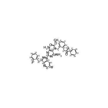 COC(=O)N(Cc1ccccc1CS(=O)(=O)c1ccccc1)c1c(N)nc(-n2nc(Cc3ccccc3F)c3ncc(F)cc32)nc1N